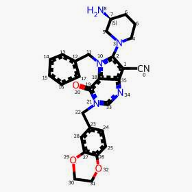 N#Cc1c(N2CCC[C@H](N)C2)n(Cc2ccccc2)c2c(=O)n(Cc3ccc4c(c3)OCCO4)cnc12